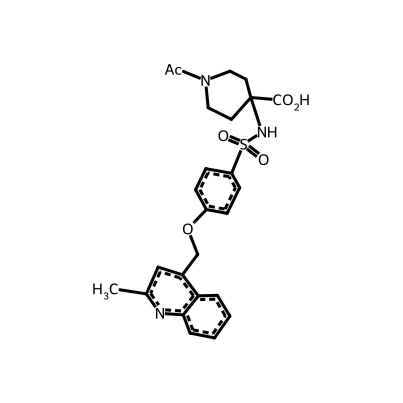 CC(=O)N1CCC(NS(=O)(=O)c2ccc(OCc3cc(C)nc4ccccc34)cc2)(C(=O)O)CC1